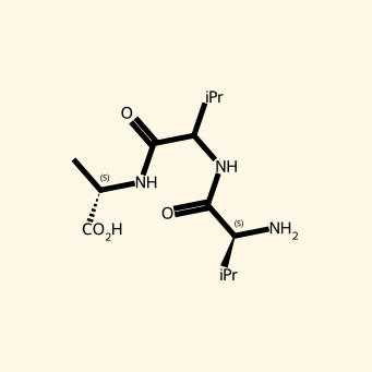 CC(C)C(NC(=O)[C@@H](N)C(C)C)C(=O)N[C@@H](C)C(=O)O